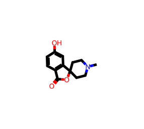 CN1CCC2(CC1)OC(=O)c1ccc(O)cc12